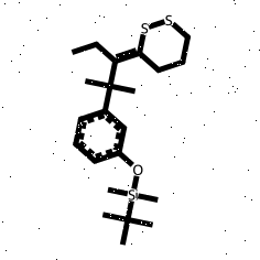 CCC(=C1CCCSS1)C(C)(C)c1cccc(O[Si](C)(C)C(C)(C)C)c1